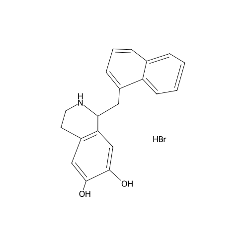 Br.Oc1cc2c(cc1O)C(Cc1cccc3ccccc13)NCC2